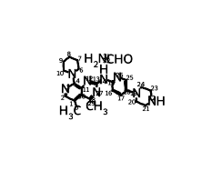 Cc1cnc(N2CCCCC2)c2nc(Nc3ccc(N4CCNCC4)cn3)nc(C)c12.NC=O